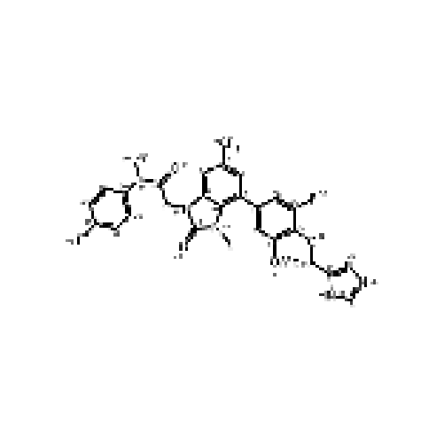 COc1cc(-c2cc(C(F)(F)F)cc3c2n(C)c(=O)n3CC(=O)N(c2ccc(F)cc2)C(C)C)cc(F)c1OCc1nnc[nH]1